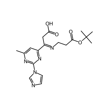 Cc1cc(/C(CC(=O)O)=N/CCC(=O)OC(C)(C)C)nc(-n2ccnc2)n1